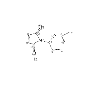 CCC(OC(C)C)N1C(=O)C=CC1=O